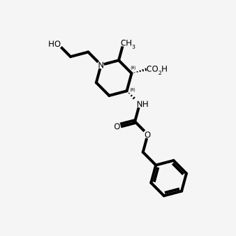 CC1[C@H](C(=O)O)[C@H](NC(=O)OCc2ccccc2)CCN1CCO